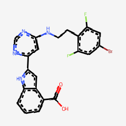 O=C(O)c1cccc2[nH]c(-c3cc(NCCc4c(F)cc(Br)cc4F)ncn3)cc12